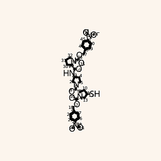 O=C(N[C@@H]1CCN(C(=O)[C@@H]2C[C@H](S)CN2C(=O)OCc2ccc([N+](=O)[O-])cc2)C1)[C@H]1CCCN1C(=O)OCc1ccc([N+](=O)[O-])cc1